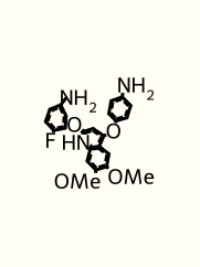 COc1cc2[nH]c(=O)cc(Oc3ccc(N)cc3)c2cc1OC.Nc1ccc(F)cc1